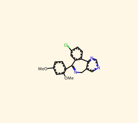 COc1ccc(C2=NCc3cncnc3-c3ccc(Cl)cc32)c(OC)c1